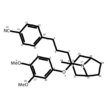 COc1ccc(OC(CCCc2ccc(C#N)cc2)N2C3CCC2CN(C)C3)cc1OC